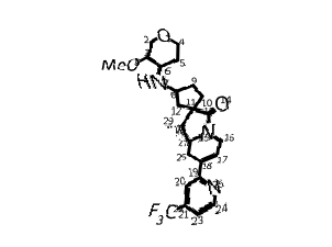 COC1COCCC1NC1CCC2(C1)C(=O)N1CC=C(c3cc(C(F)(F)F)ccn3)CC1[C@@H]2C